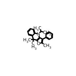 Cc1oc2c(c1-c1ccccc1)N(C(C)C)c1ccccc1C2(C)C